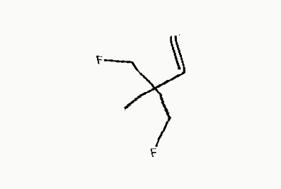 [CH]=CC(C)(CF)CF